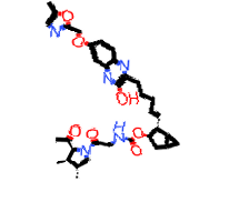 CC(=O)[C@@H]1[C@H](C)[C@@H](C)CN1C(=O)CNC(=O)O[C@@H]1CC2CC2[C@H]1CCCCCc1nc2ccc(OCc3ncc(C)o3)cc2nc1O